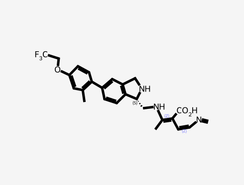 C=N/C=C\C(C(=O)O)=C(/C)NC[C@H]1NCc2cc(-c3ccc(OCC(F)(F)F)cc3C)ccc21